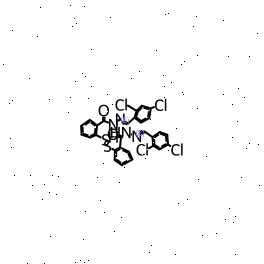 O=C(N/N=C/c1ccc(Cl)cc1Cl)c1ccccc1SSc1ccccc1C(=O)N/N=C/c1ccc(Cl)cc1Cl